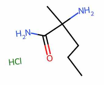 CCCC(C)(N)C(N)=O.Cl